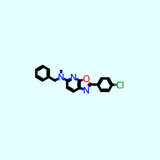 CN(Cc1ccccc1)c1ccc2nc(-c3ccc(Cl)cc3)oc2n1